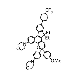 CCC1(CC)c2cc(C3CCC(C(F)(F)F)CC3)ccc2-c2c1c1c(c3cc(N4CCOCC4)ccc23)OC(c2ccc(OC)cc2)(c2ccc(N3CCOCC3)cc2)C=C1